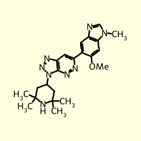 COc1cc2c(cc1-c1cc3nnn(C4CC(C)(C)NC(C)(C)C4)c3nn1)ncn2C